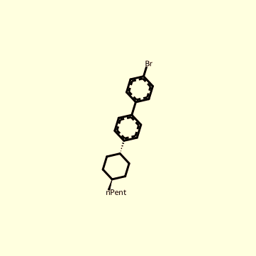 CCCCC[C@H]1CC[C@H](c2ccc(-c3ccc(Br)cc3)cc2)CC1